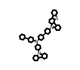 c1ccc(-c2ccc(N(c3ccc(-c4ccc(-n5c6ccccc6c6c7sc8ccccc8c7ccc65)cc4)cc3)c3ccc(-n4c5ccccc5c5ccccc54)cc3)cc2)cc1